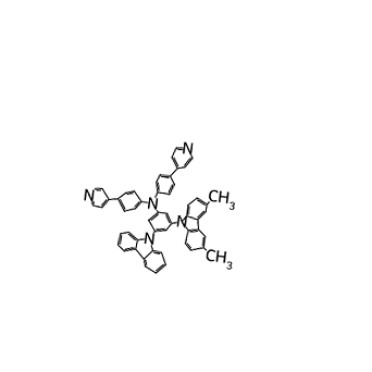 Cc1ccc2c(c1)c1cc(C)ccc1n2-c1cc(N(c2ccc(-c3ccncc3)cc2)c2ccc(-c3ccncc3)cc2)cc(-n2c3ccccc3c3ccccc32)c1